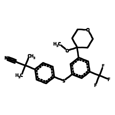 COC1(c2cc(Sc3ccc(C(C)(C)C#N)cc3)cc(C(F)(F)F)c2)CCOCC1